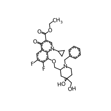 CCOC(=O)c1cn(C2CC2)c2c(OCC3C[C@@](O)(CO)CCN3Cc3ccccc3)c(F)c(F)cc2c1=O